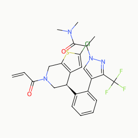 C=CC(=O)N1Cc2sc(Cl)cc2[C@@H](c2ccccc2-c2cn(C(C)C(=O)N(C)C)nc2C(F)(F)F)C1